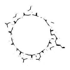 C=C/C=C/C[C@@H](C)[C@@H](O)[C@H]1C(=O)N[C@@H](CC)C(=O)N(C)CC(=O)N(C)[C@@H](CCC)C(=O)N[C@@H](C(C)C)C(=O)N(C)[C@@H](CC(C)C)C(=O)N[C@@H](C)C(=O)N[C@H](C)C(=O)N(C)[C@@H](CC(C)C)C(=O)N(C)C(CC(C)C)C(=O)N(C)[C@@H](C(C)C)C(=O)N1C